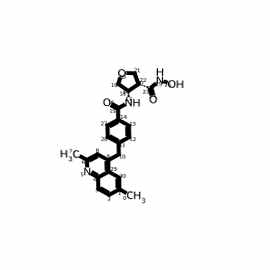 Cc1ccc2nc(C)cc(Cc3ccc(C(=O)N[C@@H]4COC[C@@H]4C(=O)NO)cc3)c2c1